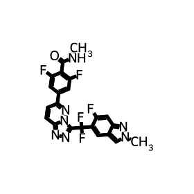 CNC(=O)c1c(F)cc(-c2ccc3nnc(C(F)(F)c4cc5cn(C)nc5cc4F)n3n2)cc1F